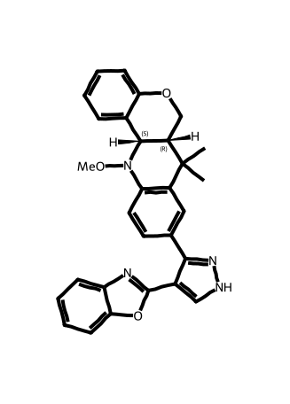 CON1c2ccc(-c3n[nH]cc3-c3nc4ccccc4o3)cc2C(C)(C)[C@H]2COc3ccccc3[C@H]21